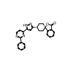 O=C1O[C@]2(CC[C@H](c3cc(-c4ccnc(-c5ccccc5)n4)[nH]n3)CC2)c2ccccc21